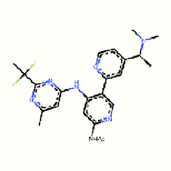 CC(=O)Nc1cc(Nc2cc(C)nc(C(C)(F)F)n2)c(-c2cc([C@H](C)N(C)C)ccn2)cn1